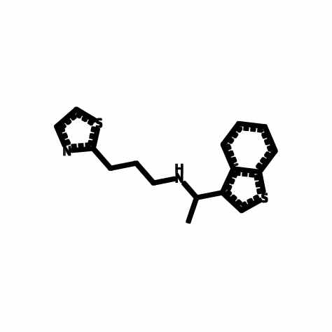 CC(NCCCc1nccs1)c1csc2ccccc12